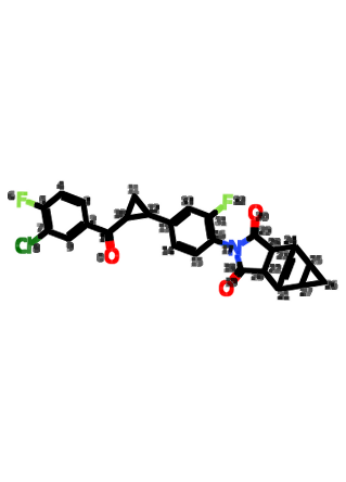 O=C(c1ccc(F)c(Cl)c1)C1CC1c1ccc(N2C(=O)C3C4C=CC(C5CC45)C3C2=O)c(F)c1